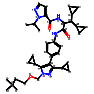 CC(C)n1nccc1C(=O)NC(C(=O)Nc1ccc(-c2c(C3CC3)nn(COCC[Si](C)(C)C)c2C2CC2)cc1)C(C1CC1)C1CC1